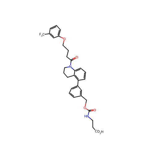 O=C(O)CCNC(=O)OCc1cccc(-c2cccc3c2CCCN3C(=O)CCCOc2cccc(C(F)(F)F)c2)c1